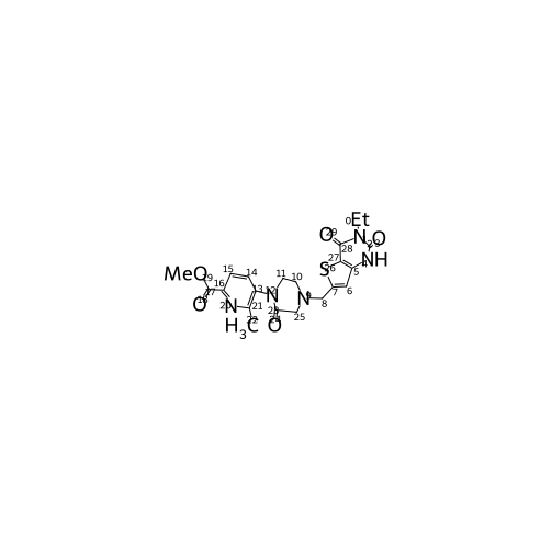 CCn1c(=O)[nH]c2cc(CN3CCN(c4ccc(C(=O)OC)nc4C)C(=O)C3)sc2c1=O